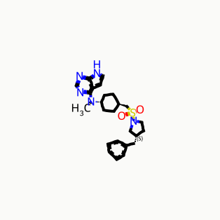 CN(c1ncnc2[nH]ccc12)[C@H]1CC[C@H](CS(=O)(=O)N2CC[C@H](Cc3ccccc3)C2)CC1